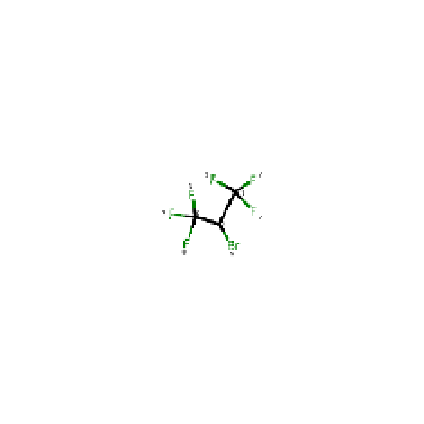 FC(F)(F)C(Br)C(F)(F)F